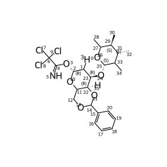 [3H]C1[C@@H](OC(=N)C(Cl)(Cl)Cl)OC2COC(c3ccccc3)O[C@@H]2[C@@H]1O[C@@H]1OC(C)[C@@H](C)[C@H](C)C1C